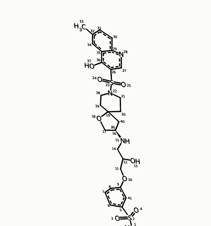 CNS(=O)(=O)c1cccc(OCC(O)CN[C@H]2COC3(CCN(S(=O)(=O)c4cnc5ccc(C)cc5c4O)CC3)C2)c1